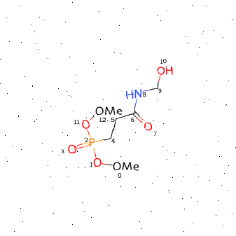 COOP(=O)(CCC(=O)NCO)OOC